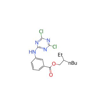 CCCCC(CC)COC(=O)c1cccc(Nc2nc(Cl)nc(Cl)n2)c1